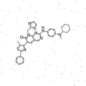 Cc1sc(-c2ccccc2)nc1-c1cc2cnc(Nc3ccc(N(C)C4CCCCC4)cc3)nc2n(Cc2nccs2)c1=O